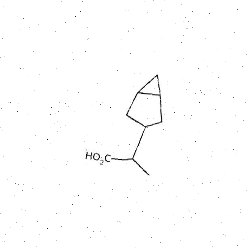 CC(C(=O)O)C1CC2CC2C1